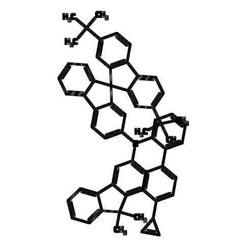 CC(C)(C)c1ccc2c(c1)C1(c3ccccc3-c3ccc(N(c4ccc5c(c4)-c4ccccc4C5(C)C)c4ccccc4-c4ccc(C5C=C5)cc4)cc31)c1cc(C(C)(C)C)ccc1-2